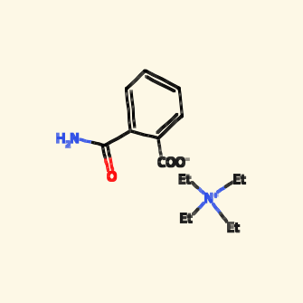 CC[N+](CC)(CC)CC.NC(=O)c1ccccc1C(=O)[O-]